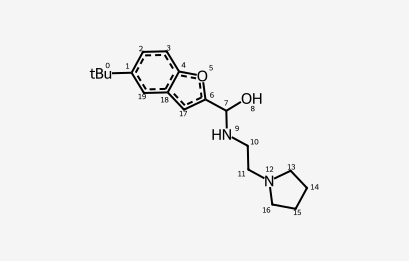 CC(C)(C)c1ccc2oc(C(O)NCCN3CCCC3)cc2c1